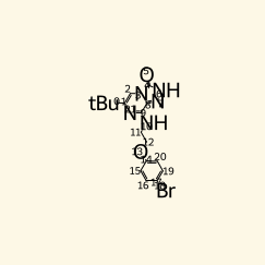 CC(C)(C)c1cn2c(=O)[nH]nc2c(NCCOc2ccc(Br)cc2)n1